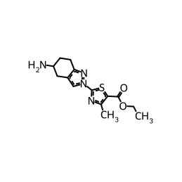 CCOC(=O)c1sc(-n2cc3c(n2)CCC(N)C3)nc1C